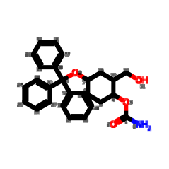 NC(=O)OC1CCC(OC(c2ccccc2)(c2ccccc2)c2ccccc2)CC1CO